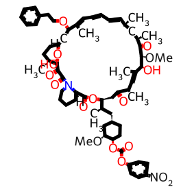 CO[C@@H]1C[C@H](C[C@@H](C)[C@@H]2CC(=O)[C@H](C)/C=C(\C)[C@@H](O)[C@@H](OC)C(=O)[C@H](C)C[C@H](C)/C=C/C=C/C=C(\C)C(OCCc3ccccc3)C[C@@H]3CC[C@@H](C)[C@@](O)(O3)C(=O)C(=O)N3CCCC[C@H]3C(=O)O2)CC[C@H]1OC(=O)Oc1ccc([N+](=O)[O-])cc1